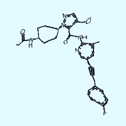 CC(=O)N[C@H]1CC[C@@H](n2ncc(Cl)c2C(=O)Nc2ncc(C#Cc3ccc(F)cc3)cc2C)CC1